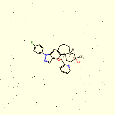 O=C(c1ccccn1)[C@@]12CC[C@](O)(C(F)(F)F)C[C@H]1CCCc1cc3c(cnn3-c3ccc(F)cc3)cc12